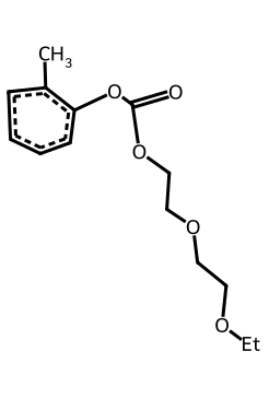 CCOCCOCCOC(=O)Oc1ccccc1C